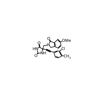 COc1ccc2c(c1)C(=O)N(C[C@@]1(C#Cc3ccc(C)c(Cl)c3)NC(=O)NC1=O)C2